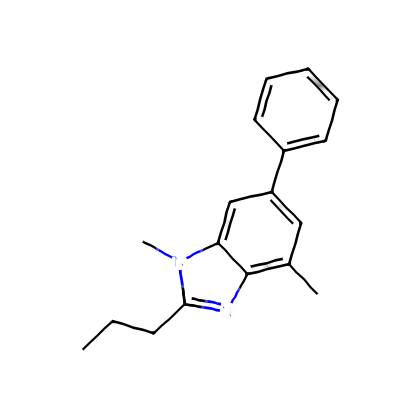 CCCc1nc2c(C)cc(-c3ccccc3)cc2n1C